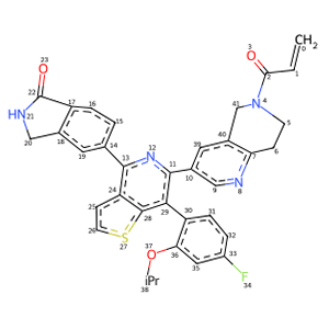 C=CC(=O)N1CCc2ncc(-c3nc(-c4ccc5c(c4)CNC5=O)c4ccsc4c3-c3ccc(F)cc3OC(C)C)cc2C1